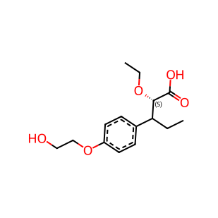 CCO[C@H](C(=O)O)C(CC)c1ccc(OCCO)cc1